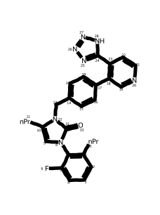 CCCc1cccc(F)c1-n1cc(CCC)n(Cc2ccc(-c3cnccc3-c3nnn[nH]3)cc2)c1=O